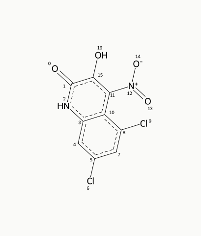 O=c1[nH]c2cc(Cl)cc(Cl)c2c([N+](=O)[O-])c1O